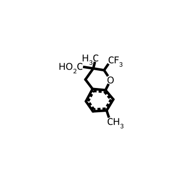 Cc1ccc2c(c1)OC(C(F)(F)F)C(C)(C(=O)O)C2